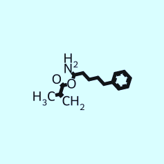 C=C(C)C(=O)OC(N)CCCCc1ccccc1